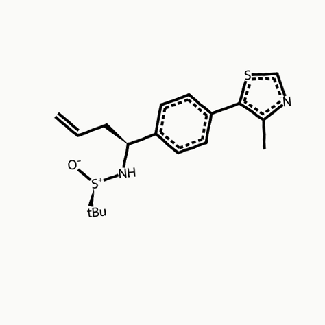 C=CC[C@H](N[S@+]([O-])C(C)(C)C)c1ccc(-c2scnc2C)cc1